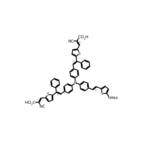 [C-]#[N+]/C(=C\c1ccc(/C(=C/c2ccc(N(c3ccc(/C=C/c4ccc(CCCCCC)s4)cc3)c3ccc(/C=C(\c4ccccc4)c4ccc(/C=C(\C#N)C(=O)O)s4)cc3)cc2)c2ccccc2)s1)C(=O)O